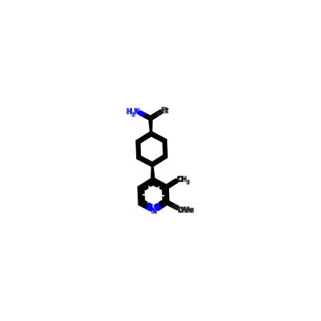 CCC(N)[C@H]1CC[C@@H](c2ccnc(OC)c2C)CC1